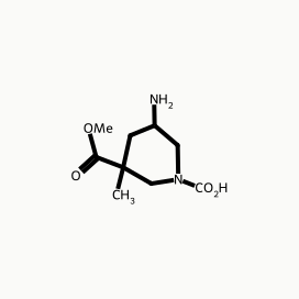 COC(=O)C1(C)CC(N)CN(C(=O)O)C1